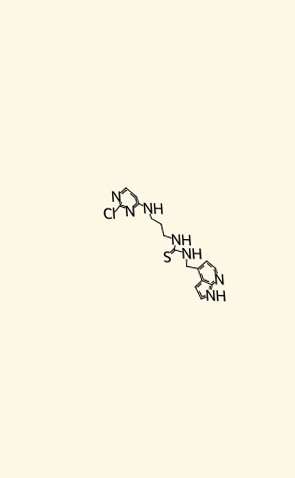 S=C(NCCCNc1ccnc(Cl)n1)NCc1ccnc2[nH]ccc12